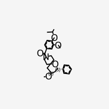 COc1cc(C(=O)N2CCC3(CC2)C[C@@H](OC)C[C@@H](c2ccccc2)O3)ccc1OC(C)C